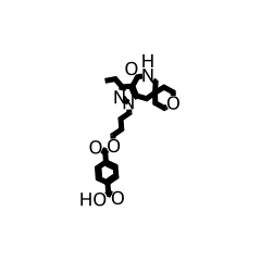 CCc1nn(CCCCOC(=O)c2ccc(C(=O)O)cc2)c2c1C(=O)NCC1(CCOCC1)C2